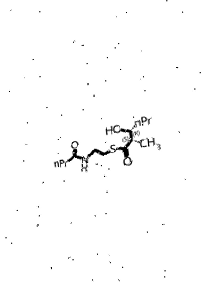 CCCC(=O)NCCSC(=O)[C@@H](C)[C@H](O)CCC